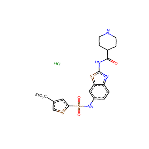 CCOC(=O)c1csc(S(=O)(=O)Nc2ccc3nc(NC(=O)C4CCNCC4)sc3c2)c1.Cl